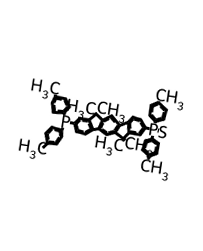 Cc1ccc(P(c2ccc(C)cc2)c2ccc3c(c2)C(C)(C)c2cc4c(cc2-3)C(C)(C)c2cc(P(=S)(c3ccc(C)cc3)c3ccc(C)cc3)ccc2-4)cc1